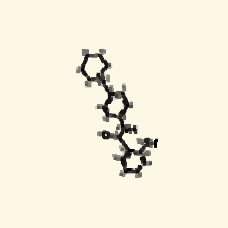 O=C(Nc1ccc(N2CCCCC2)cc1)c1ccccc1S